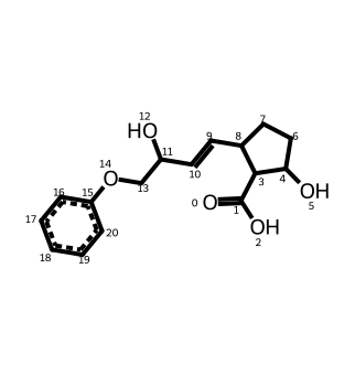 O=C(O)C1C(O)CCC1C=CC(O)COc1ccccc1